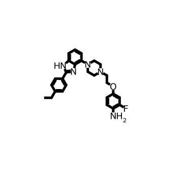 CCc1ccc(-c2nc3c(N4CCN(CCOc5ccc(N)c(F)c5)CC4)cccc3[nH]2)cc1